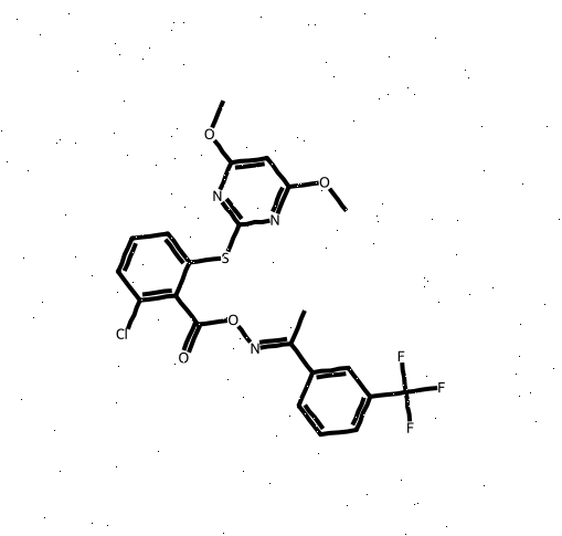 COc1cc(OC)nc(Sc2cccc(Cl)c2C(=O)O/N=C(\C)c2cccc(C(F)(F)F)c2)n1